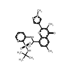 Cc1cc(C(C)Nc2cccnc2S(=O)(=O)NC(C)(C)C)c2oc(-c3cnn(C)c3)c(C)c(=O)c2c1